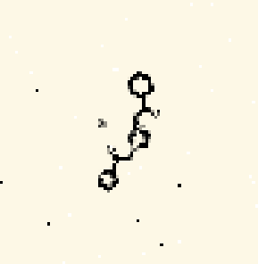 O=C(C[n+]1ccn(CC(=O)c2cccs2)c1)c1ccccc1.[Br-]